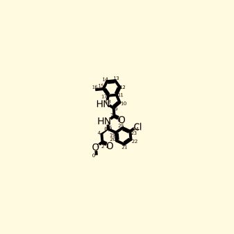 COC(=O)C[C@@H](NC(=O)c1cc2cccc(C)c2[nH]1)c1cccc(Cl)c1